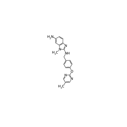 Cc1cnc(Oc2ccc(CNc3nc4ccc(N)cc4n3C)cc2)nc1